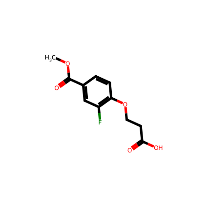 COC(=O)c1ccc(OCCC(=O)O)c(F)c1